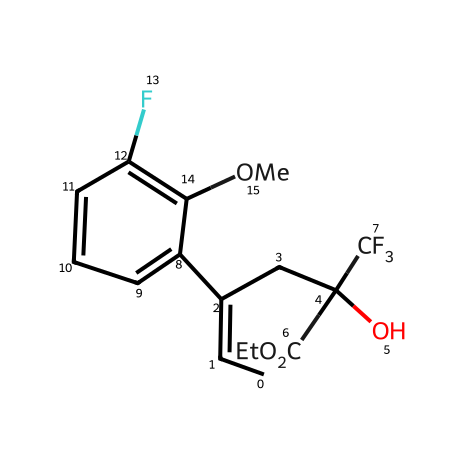 CC=C(CC(O)(C(=O)OCC)C(F)(F)F)c1cccc(F)c1OC